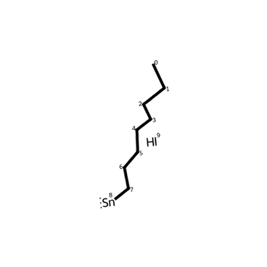 CCCCCCC[CH2][Sn].I